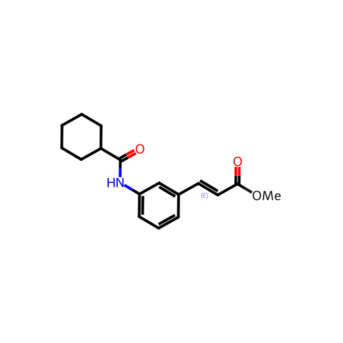 COC(=O)/C=C/c1cccc(NC(=O)C2CCCCC2)c1